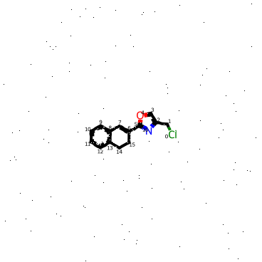 ClCc1coc(C2=Cc3ccccc3CC2)n1